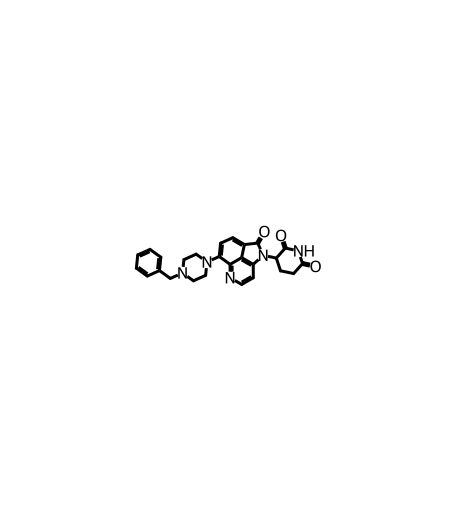 O=C1CCC(N2C(=O)c3ccc(N4CCN(Cc5ccccc5)CC4)c4nccc2c34)C(=O)N1